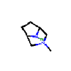 CN1CC2CCC(C1)N2Br